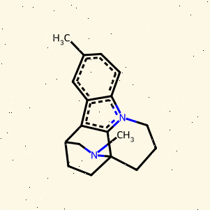 Cc1ccc2c(c1)c1c3n2CCCC32CCC1CN2C